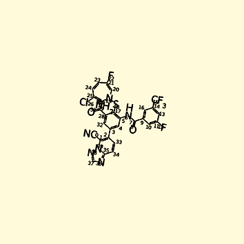 N#Cc1c(-c2cc(NC(=O)c3cc(F)cc(C(F)(F)F)c3)c(SN3C=C(F)C=CC(Cl)=C3)c(C(N)=O)c2)ccc2ncnn12